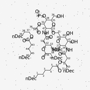 CCCCCCCCCCCCCCCC(=O)O[C@H](CCCCCCCCCCC)CC(=O)NC1C(O)OC(COC2OC(CO)C(OP=O)C(OC(=O)C[C@@H](CCCCCCCCCCC)OC(=O)CCCCCCCCCCCCC)C2NC(=O)C[C@@H](CCCCCCCCCCC)OC(=O)CCCCCCCCCCC)C(O)C1O